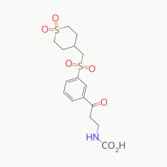 O=C(O)NCCC(=O)c1cccc(S(=O)(=O)CC2CCS(=O)(=O)CC2)c1